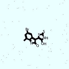 Cc1cc(Br)cc2c1=NC(=O)C=2c1sc(=S)[nH]c1O